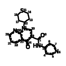 O=C(Nc1ccncc1)c1cn(C2CCSCC2)c2ncccc2c1=O